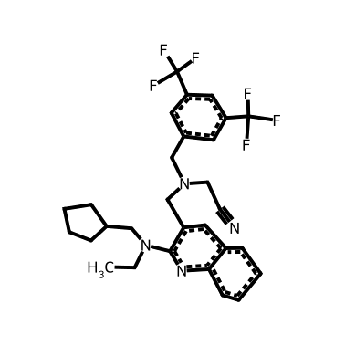 CCN(CC1CCCC1)c1nc2ccccc2cc1CN(CC#N)Cc1cc(C(F)(F)F)cc(C(F)(F)F)c1